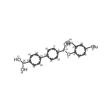 CC(C)(C)c1ccc(OP(O)c2ccc(-c3ccc(P(O)O)cc3)cc2)c(C(C)(C)C)c1